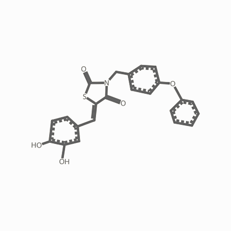 O=C1S/C(=C\c2ccc(O)c(O)c2)C(=O)N1Cc1ccc(Oc2ccccc2)cc1